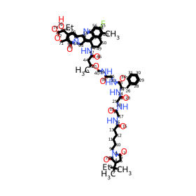 CCC(C)(C)C1CC(=O)N(CCCCCC(=O)NCC(=O)NCC(=O)N[C@@H](Cc2ccccc2)C(=O)NCC(=O)NCOC(C)CC(=O)N[C@H]2CCc3c(C)c(F)cc4nc5c(c2c34)Cn2c-5cc3c(c2=O)COC(=O)[C@]3(O)CC)C1=O